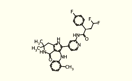 Cc1ccccc1Nc1c(-c2ccnc(NC(=O)[C@H](CC(F)F)c3ccc(F)cc3)c2)[nH]c2c1C(=O)NC(C)(C)C2